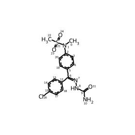 CN(c1ccc(C(=NNC(N)=O)c2ccc(Cl)cc2)cc1)S(C)(=O)=O